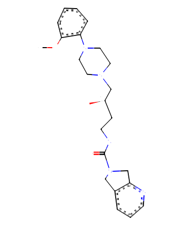 COc1ccccc1N1CCN(C[C@H](O)CCNC(=O)N2Cc3cccnc3C2)CC1